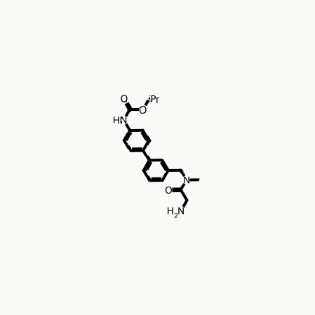 CC(C)OC(=O)Nc1ccc(-c2cccc(CN(C)C(=O)CN)c2)cc1